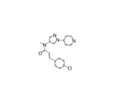 CN(C(=O)C=Cc1ccc(Cl)cc1)c1cnn(-c2ccncc2)c1